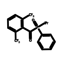 CC(C)P(=O)(C(=O)c1c(C(F)(F)F)cccc1C(F)(F)F)c1ccccc1